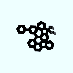 CC1(C)c2ccccc2-c2c(N(c3cccc(-c4ccccc4)c3)c3cccc4ccc5c6ccccc6sc5c34)cccc21